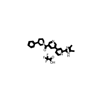 Cc1nc(-c2cc(-c3cncc(C(=O)N4CCCC(c5ccccc5)C4)c3)ccn2)[nH]c1C.O=C(O)C(F)(F)F